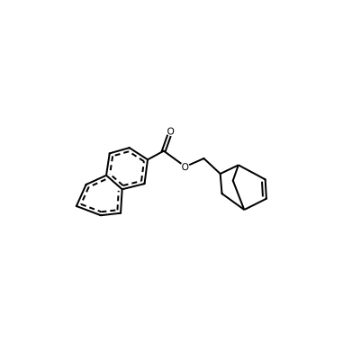 O=C(OCC1CC2C=CC1C2)c1ccc2ccccc2c1